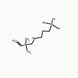 C=C[Si](C)(C)CNCCC[Si](C(C)C)(C(C)C)C(C)C